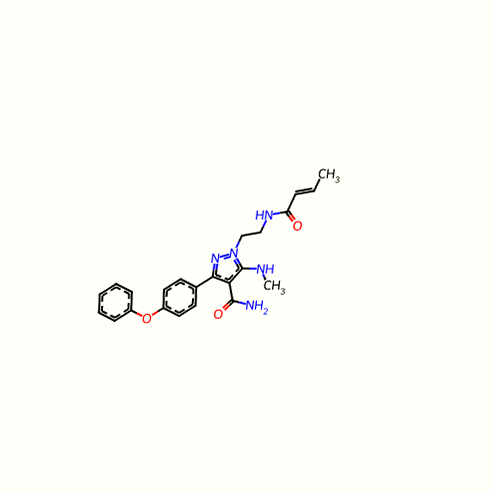 CC=CC(=O)NCCn1nc(-c2ccc(Oc3ccccc3)cc2)c(C(N)=O)c1NC